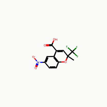 CC1(C(F)(F)F)C=C(C(=O)O)c2cc([N+](=O)[O-])ccc2O1